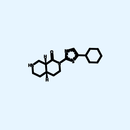 O=C1[C@H]2CNCC[C@H]2CCN1c1ncc(C2CCCCC2)s1